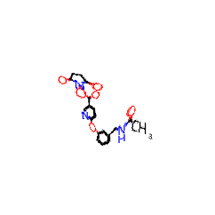 CC(=O)NCc1cccc(Oc2ccc(C(=O)ON3C(=O)CCC3=O)cn2)c1